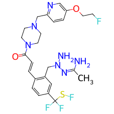 C/C(N)=N/N(N)Cc1cc(C(F)(F)SF)ccc1/C=C/C(=O)N1CCN(Cc2ccc(OCCF)cn2)CC1